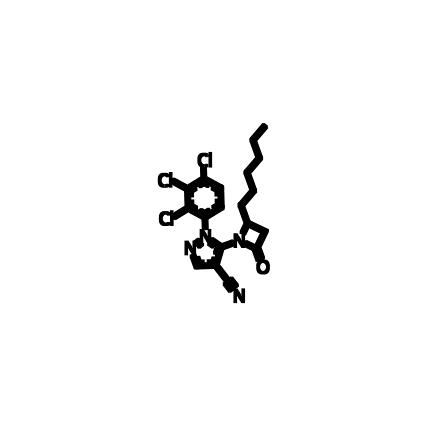 CCCCCCC1CC(=O)N1c1c(C#N)cnn1-c1ccc(Cl)c(Cl)c1Cl